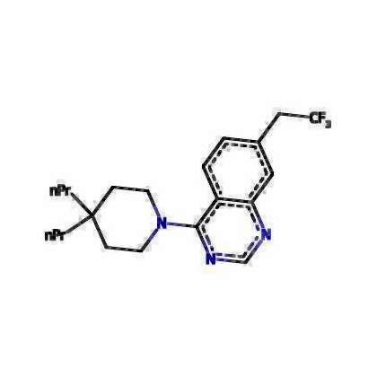 CCCC1(CCC)CCN(c2ncnc3cc(CC(F)(F)F)ccc23)CC1